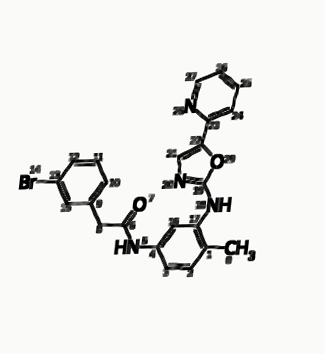 Cc1ccc(NC(=O)Cc2cccc(Br)c2)cc1Nc1ncc(-c2ccccn2)o1